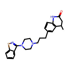 CC1CC(=O)Nc2ccc(CCCN3CCN(c4nsc5ccccc45)CC3)cc21